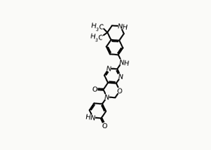 CC1(C)CNCc2cc(Nc3ncc4c(n3)OCN(c3cc[nH]c(=O)c3)C4=O)ccc21